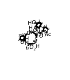 CC(=O)N1CC[C@H](c2ccc(O)cc2)[C@H]1C(=O)N[C@H]1CSSC[C@@H](C(=O)O)NC(=O)C2(CCCC2)CCNC1=O